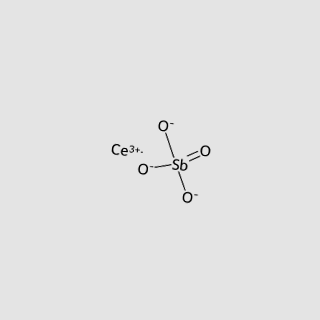 [Ce+3].[O]=[Sb]([O-])([O-])[O-]